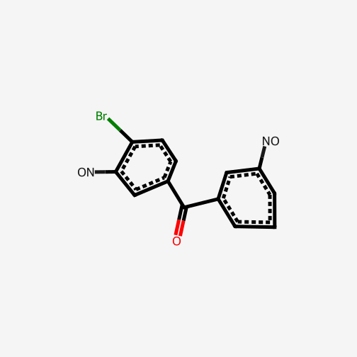 O=Nc1cccc(C(=O)c2ccc(Br)c(N=O)c2)c1